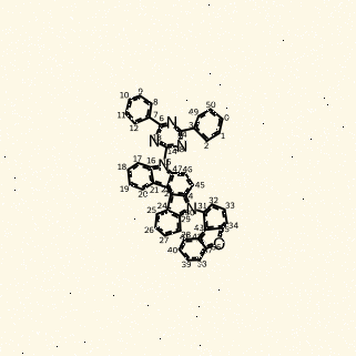 c1ccc(-c2nc(-c3ccccc3)nc(-n3c4ccccc4c4c5c6ccccc6n(-c6cccc7oc8ccccc8c67)c5ccc43)n2)cc1